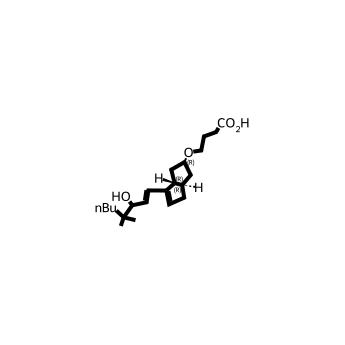 CCCCC(C)(C)C(O)C=CC1=CC[C@@H]2C[C@@H](OCCCC(=O)O)C[C@@H]12